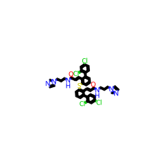 O=C(/C=C/c1c(Sc2cccc(-c3ccc(Cl)cc3Cl)c2/C=C/C(=O)NCCCn2ccnc2)cccc1-c1ccc(Cl)cc1Cl)NCCCn1ccnc1